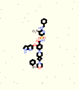 CC(C)c1ccccc1[C@H]1COCCN1C1CC2(CCN(c3ccc(C(=O)NS(=O)(=O)c4cnc(NCC5CCCCC5)c([N+](=O)[O-])c4)c(Oc4cnc5[nH]ccc5c4)c3)CC2)C1